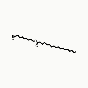 CCCCCCCCCCCCCCCCCC(=O)OCCCCCCCCC1CO1